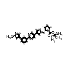 Cn1cc(-c2cccc(-c3ncc(-c4cnn(C[C@@H]5CCCN5C(=O)OC(C)(C)C)c4)cn3)c2)cn1